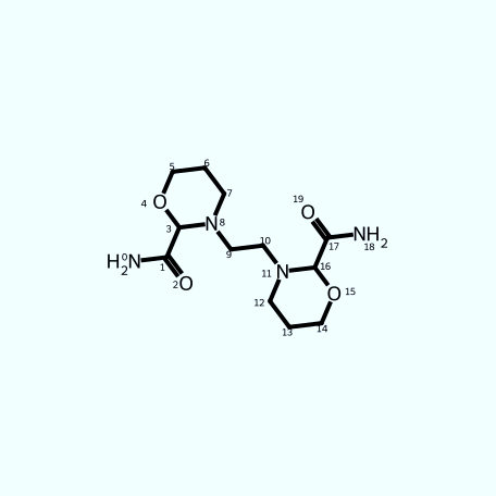 NC(=O)C1OCCCN1CCN1CCCOC1C(N)=O